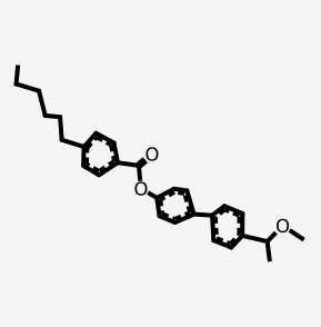 CCCCCCc1ccc(C(=O)Oc2ccc(-c3ccc(C(C)OC)cc3)cc2)cc1